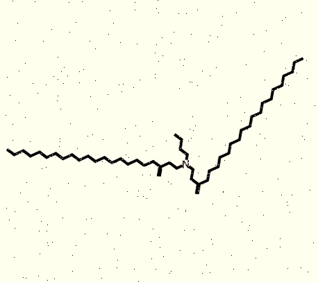 C=C(CCCCCCCCCCCCCCCCCCC)CCN(CCCC)CCC(=C)CCCCCCCCCCCCCCCCCCC